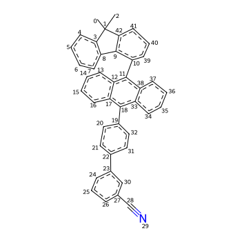 CC1(C)c2ccccc2-c2c(-c3c4ccccc4c(-c4ccc(-c5cccc(C#N)c5)cc4)c4ccccc34)cccc21